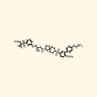 COc1ccc(S(=O)(=O)N2CCC3(CC2)C[C@H](NCC(O)COc2cccc(S(=O)(=O)C4(CO)CC4)c2)CO3)cc1-c1ccc(CCN)cc1